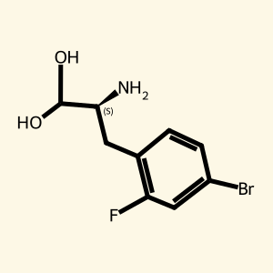 N[C@@H](Cc1ccc(Br)cc1F)C(O)O